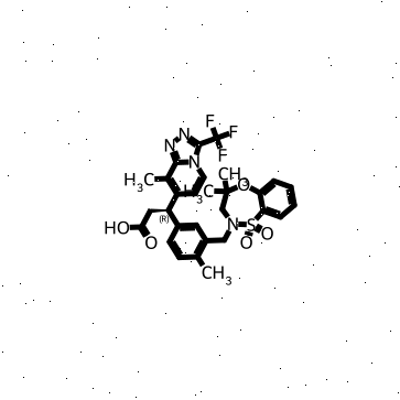 Cc1ccc([C@@H](CC(=O)O)c2ccn3c(C(F)(F)F)nnc3c2C)cc1CN1CC(C)(C)Oc2ccccc2S1(=O)=O